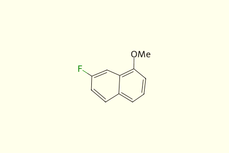 COc1cccc2ccc(F)cc12